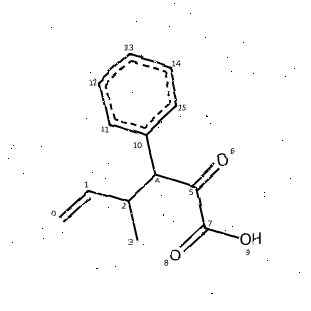 C=CC(C)C(C(=O)C(=O)O)c1ccccc1